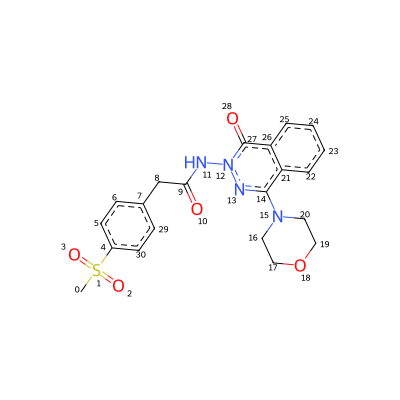 CS(=O)(=O)c1ccc(CC(=O)Nn2nc(N3CCOCC3)c3ccccc3c2=O)cc1